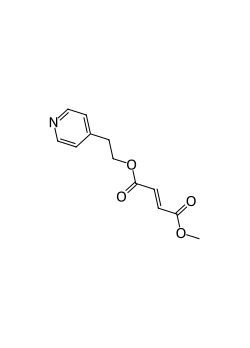 COC(=O)/C=C/C(=O)OCCc1ccncc1